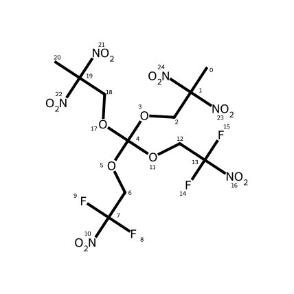 CC(COC(OCC(F)(F)[N+](=O)[O-])(OCC(F)(F)[N+](=O)[O-])OCC(C)([N+](=O)[O-])[N+](=O)[O-])([N+](=O)[O-])[N+](=O)[O-]